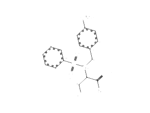 COc1ccc(CN(C(CO)C(N)=O)S(=O)(=O)c2ccccc2)cc1